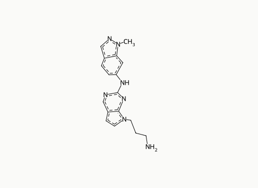 Cn1ncc2ccc(Nc3ncc4ccn(CCCN)c4n3)cc21